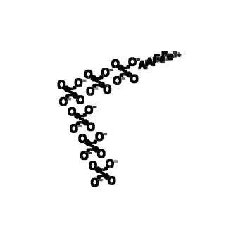 O=S(=O)([O-])[O-].O=S(=O)([O-])[O-].O=S(=O)([O-])[O-].O=S(=O)([O-])[O-].O=S(=O)([O-])[O-].O=S(=O)([O-])[O-].[Al+3].[Al+3].[Fe+3].[Fe+3]